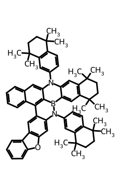 CC1(C)CCC(C)(C)c2cc(N3B4c5cc6c(cc5N(c5ccc7c(c5)C(C)(C)CCC7(C)C)c5cc7ccccc7c(c54)-c4cc5c(cc43)oc3ccccc35)C(C)(C)CCC6(C)C)ccc21